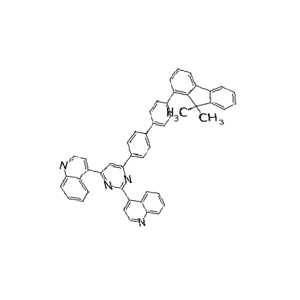 CC1(C)c2ccccc2-c2cccc(-c3ccc(-c4ccc(-c5cc(-c6ccnc7ccccc67)nc(-c6ccnc7ccccc67)n5)cc4)cc3)c21